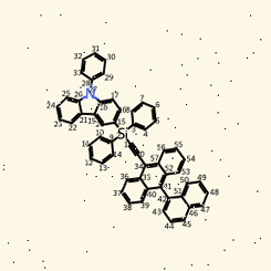 C(#C[Si](c1ccccc1)(c1ccccc1)c1ccc2c(c1)c1ccccc1n2-c1ccccc1)c1c2ccccc2c(-c2cccc3ccccc23)c2ccccc12